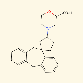 O=C(O)C1CN(C2CCC3(Cc4ccccc4Cc4ccccc43)C2)CCO1